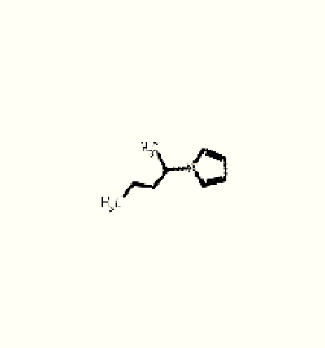 CCCC(C)n1cccc1